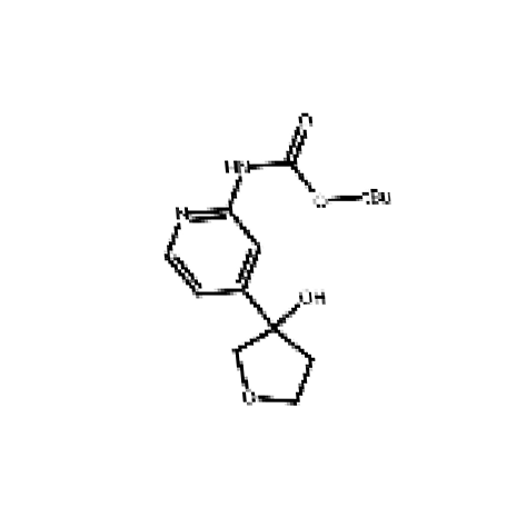 CC(C)(C)OC(=O)Nc1cc(C2(O)CCOC2)ccn1